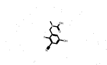 CN(Cc1cc(O)cc(C#N)c1F)C(=O)O